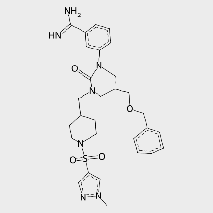 Cn1cc(S(=O)(=O)N2CCC(CN3CC(COCc4ccccc4)CN(c4cccc(C(=N)N)c4)C3=O)CC2)cn1